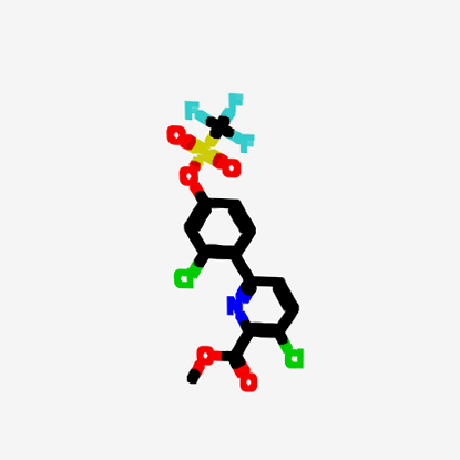 COC(=O)c1nc(-c2ccc(OS(=O)(=O)C(F)(F)F)cc2Cl)ccc1Cl